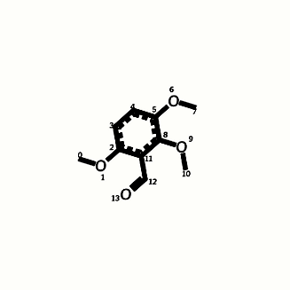 COc1ccc(OC)c(OC)c1C=O